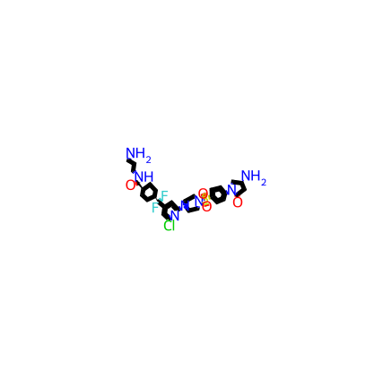 NCCCNC(=O)[C@H]1CC[C@H](C(F)(F)c2cc(Cl)nc(N3CCN(S(=O)(=O)c4ccc(N5C[C@H](N)CC5=O)cc4)CC3)c2)CC1